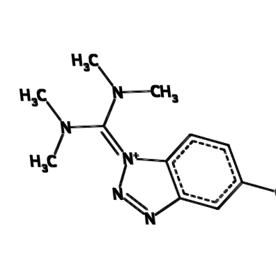 CN(C)C(N(C)C)=[N+]1N=Nc2cc(Cl)ccc21